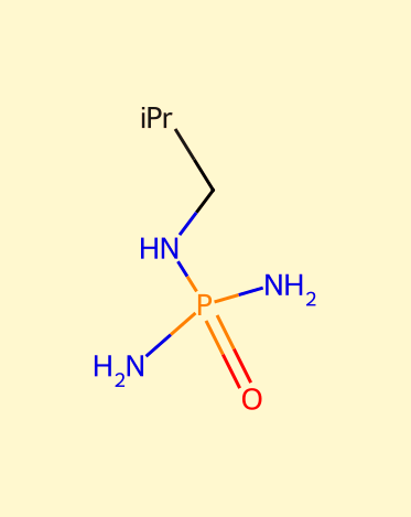 CC(C)CNP(N)(N)=O